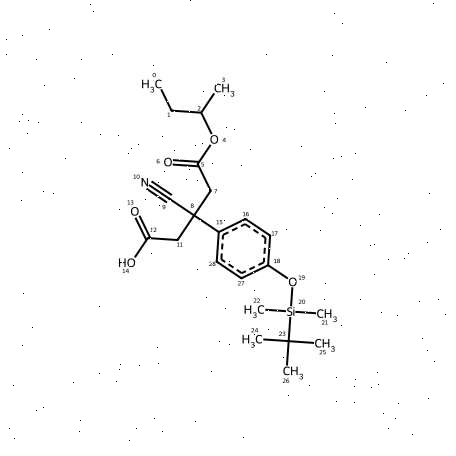 CCC(C)OC(=O)CC(C#N)(CC(=O)O)c1ccc(O[Si](C)(C)C(C)(C)C)cc1